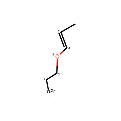 [CH2]CCCCOC=CC